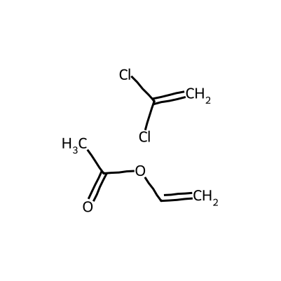 C=C(Cl)Cl.C=COC(C)=O